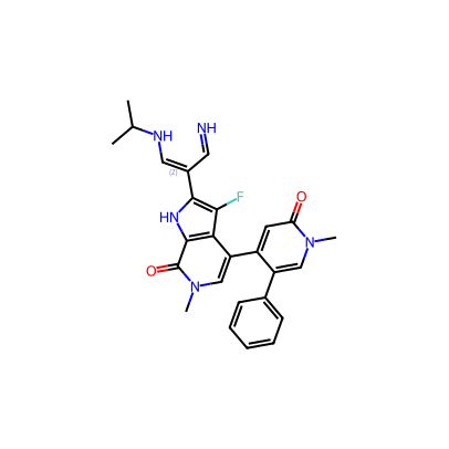 CC(C)N/C=C(\C=N)c1[nH]c2c(=O)n(C)cc(-c3cc(=O)n(C)cc3-c3ccccc3)c2c1F